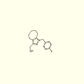 OCc1nn(Cc2ccc(F)cc2)c2c1CCCCC2